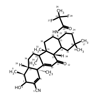 C[C@@H]1C(O)C(C#N)=C[C@]2(C)C3=CC(=O)[C@H]4C5CC(C)(C)CC[C@]5(NC(=O)C(C)(F)F)CC[C@@]4(C)[C@]3(C)CC[C@@H]12